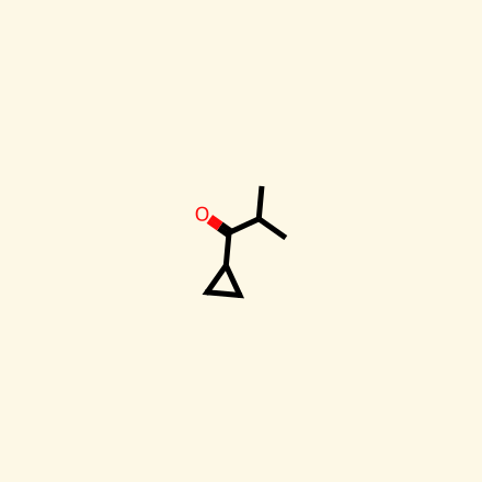 CC(C)C(=O)C1CC1